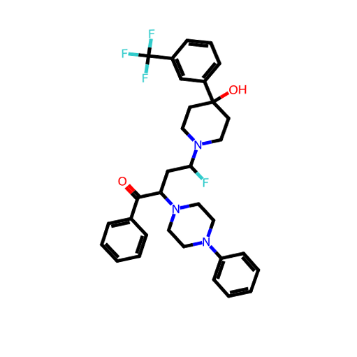 O=C(c1ccccc1)C(CC(F)N1CCC(O)(c2cccc(C(F)(F)F)c2)CC1)N1CCN(c2ccccc2)CC1